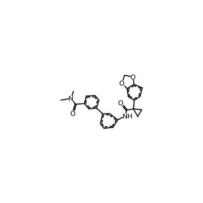 CN(C)C(=O)c1cccc(-c2cccc(NC(=O)C3(c4ccc5c(c4)OCO5)CC3)c2)c1